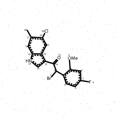 COc1cc(F)ccc1C(Br)C(=O)c1c[nH]c2cc(C)c(Cl)cc12